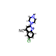 CN1CCN(c2cc(C#N)c3cc(Cl)ccc3n2)CC1